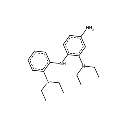 CCN(CC)c1ccccc1Nc1ccc(N)cc1N(CC)CC